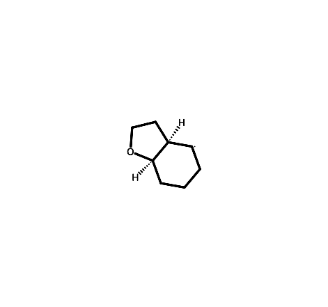 [CH]1CCC[C@H]2OCC[C@@H]12